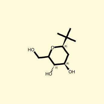 CC(C)(C)[C@H]1C[C@@H](O)[C@H](O)C(CO)O1